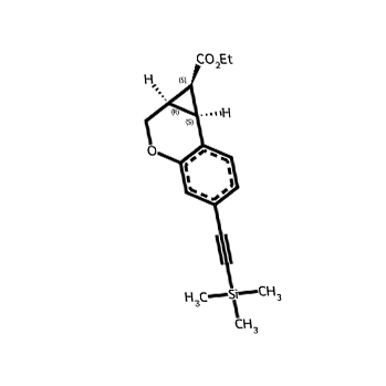 CCOC(=O)[C@@H]1[C@@H]2COc3cc(C#C[Si](C)(C)C)ccc3[C@@H]21